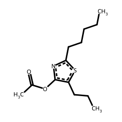 CCCCCc1nc(OC(C)=O)c(CCC)s1